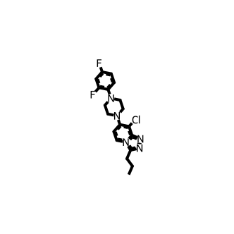 CCCc1nnc2c(Cl)c(N3CCN(c4ccc(F)cc4F)CC3)ccn12